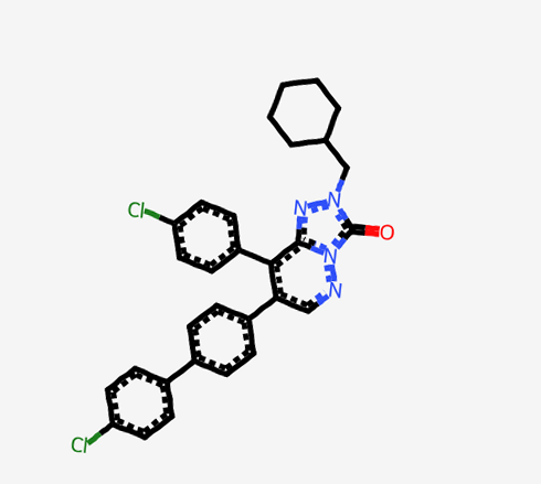 O=c1n(CC2CCCCC2)nc2c(-c3ccc(Cl)cc3)c(-c3ccc(-c4ccc(Cl)cc4)cc3)cnn12